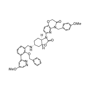 COc1ccc(CN2C(=O)COc3ccc(N4C(=O)O[C@@H]5C[C@H](NCc6cccc(-c7cc(OC)cnn7)c6OCc6ccccc6)CC[C@H]54)nc32)cc1